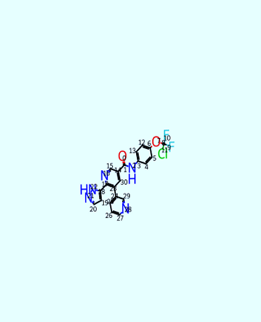 O=C(Nc1ccc(OC(F)(F)Cl)cc1)c1cnc(-c2ccn[nH]2)c(-c2cccnc2)c1